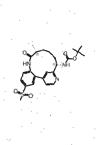 C[C@@H]1CCC[C@H](NC(=O)OC(C)(C)C)c2cc(ccn2)-c2cc(S(C)(=O)=O)ccc2NC1=O